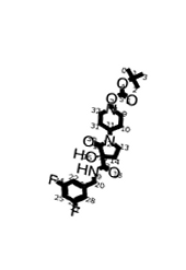 CC(C)(C)OC(=O)ON1CCC(N2CC[C@@](O)(C(=O)NCc3cc(F)cc(F)c3)C2=O)CC1